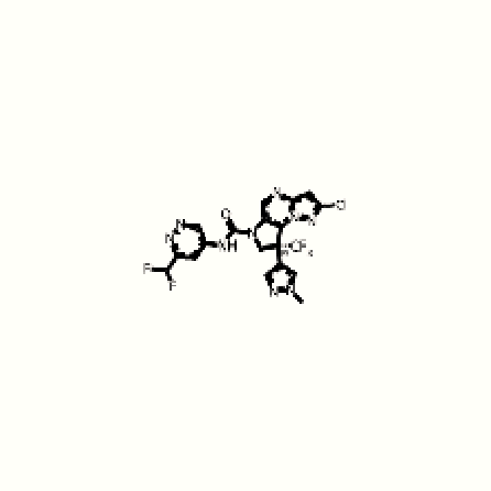 Cn1cc([C@@]2(C(F)(F)F)CN(C(=O)Nc3cnnc(C(F)F)c3)c3cnc4cc(Cl)nn4c32)cn1